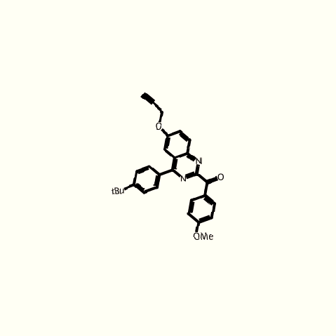 C#CCOc1ccc2nc(C(=O)c3ccc(OC)cc3)nc(-c3ccc(C(C)(C)C)cc3)c2c1